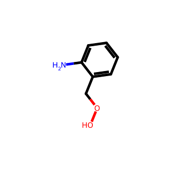 Nc1ccccc1COO